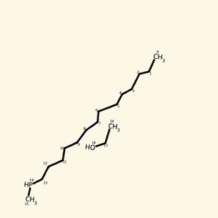 CCCCCCCCCCCCCCPC.CCO